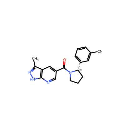 Cc1n[nH]c2ncc(C(=O)N3CCC[C@H]3c3cccc(C#N)c3)cc12